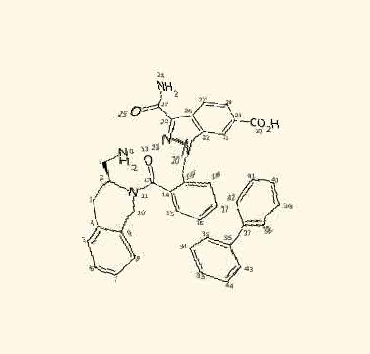 NC[C@@H]1Cc2ccccc2CN1C(=O)c1ccccc1-n1nc(C(N)=O)c2ccc(C(=O)O)cc21.c1ccc(-c2ccccc2)cc1